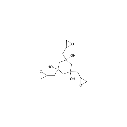 OC1(CC2CO2)CC(O)(CC2CO2)CC(O)(CC2CO2)C1